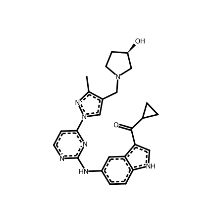 Cc1nn(-c2ccnc(Nc3ccc4[nH]cc(C(=O)C5CC5)c4c3)n2)cc1CN1CC[C@@H](O)C1